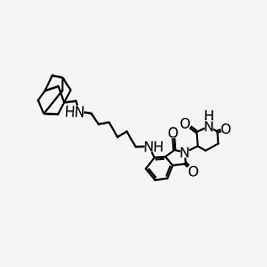 O=C1CCC(N2C(=O)c3cccc(NCCCCCCNCC45CC6CC(CC(C6)C4)C5)c3C2=O)C(=O)N1